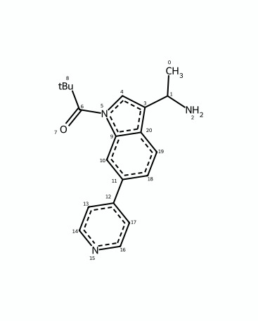 CC(N)c1cn(C(=O)C(C)(C)C)c2cc(-c3ccncc3)ccc12